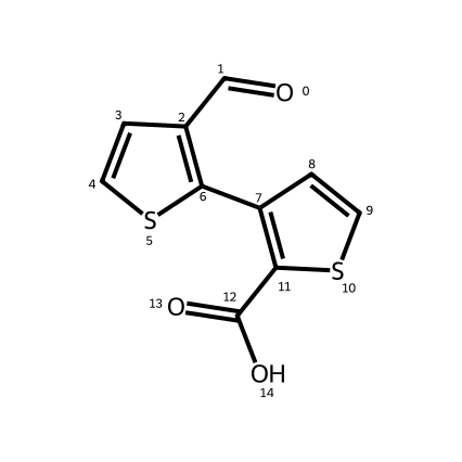 O=Cc1ccsc1-c1ccsc1C(=O)O